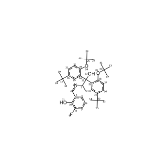 CC(N=Cc1cccc(F)c1O)C(O)(c1cc(C(C)(C)C)ccc1OC(C)(C)C)c1cc(C(C)(C)C)ccc1OC(C)(C)C